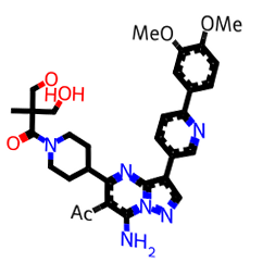 COc1ccc(-c2ccc(-c3cnn4c(N)c(C(C)=O)c(C5CCN(C(=O)C(C)(CO)CO)CC5)nc34)cn2)cc1OC